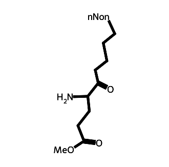 CCCCCCCCCCCCCC(=O)C(N)CCC(=O)OC